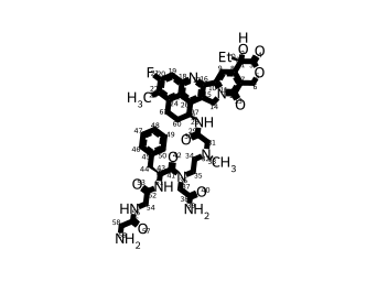 CC[C@@]1(O)C(=O)OCc2c1cc1n(c2=O)Cc2c-1nc1cc(F)c(C)c3c1c2[C@@H](NC(=O)CN(C)CCN(CC(N)=O)C(=O)[C@H](Cc1ccccc1)NC(=O)CNC(=O)CN)CC3